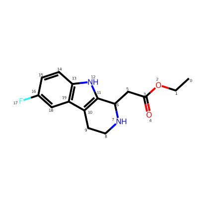 CCOC(=O)CC1NCCc2c1[nH]c1ccc(F)cc21